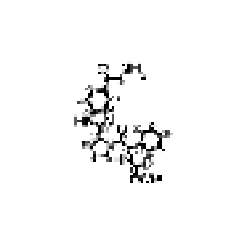 COC(=O)N[C@@H](C(=O)N1CCC[C@H]1c1nc2cc(C(=O)CN)ccc2[nH]1)c1ccccc1